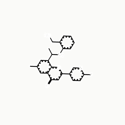 Cc1cc(C(C)Nc2ccccc2CO)c2oc(-c3ccc(F)nc3)cc(=O)c2c1